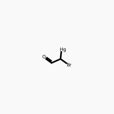 O=C[CH](Br)[Hg]